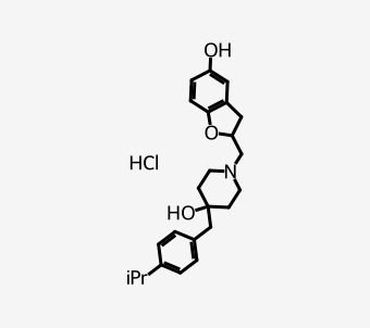 CC(C)c1ccc(CC2(O)CCN(CC3Cc4cc(O)ccc4O3)CC2)cc1.Cl